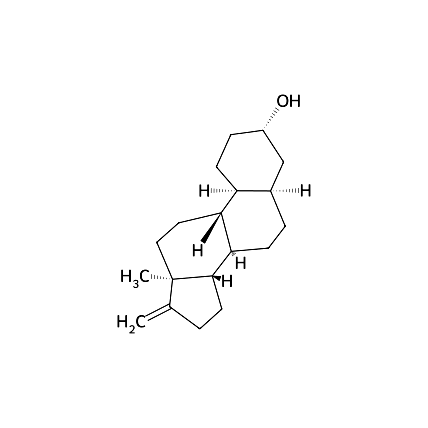 C=C1CC[C@H]2[C@@H]3CC[C@@H]4C[C@@H](O)CC[C@@H]4[C@H]3CC[C@]12C